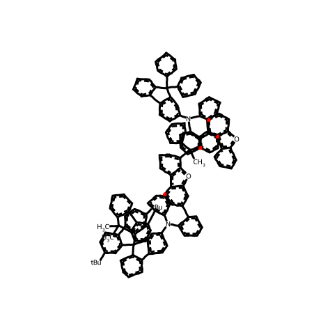 CC(C)(C)c1ccc2c(c1)C1(c3ccccc3-c3ccc(N(c4ccccc4-c4ccc5c(c4)oc4c(C6(C)c7ccccc7-c7c(-c8ccccc8N(c8ccc9c(c8)C(c8ccccc8)(c8ccccc8)c8ccccc8-9)c8ccccc8-c8cccc9oc%10ccccc%10c89)cccc76)cccc45)c4ccccc4-c4cccc5c4-c4ccccc4C5(C)C)cc31)c1cc(C(C)(C)C)ccc1-2